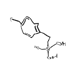 O[Si](O)(O)Cc1ccc(F)cc1